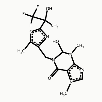 Cc1sc(C(C)(O)C(F)(F)F)nc1CN1C(=O)c2c(ncn2C)N(C)C1O